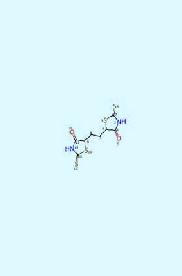 O=C1NC(=S)SC1CCC1SC(=S)NC1=O